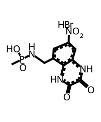 Br.CP(=O)(O)NCc1cc([N+](=O)[O-])cc2[nH]c(=O)c(=O)[nH]c12